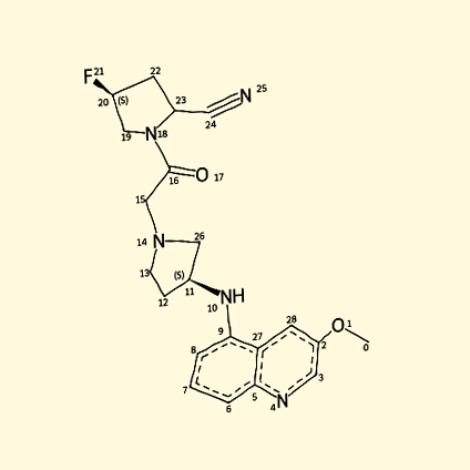 COc1cnc2cccc(N[C@H]3CCN(CC(=O)N4C[C@@H](F)CC4C#N)C3)c2c1